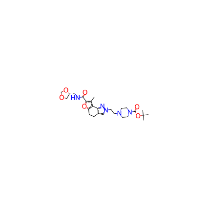 Cc1c(C(=O)NC[C@@H]2COCO2)oc2c1-c1nn(CCN3CCN(C(=O)OC(C)(C)C)CC3)cc1CC2